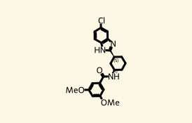 COc1cc(OC)cc(C(=O)N[C@@H]2CCC[C@H](c3nc4cc(Cl)ccc4[nH]3)C2)c1